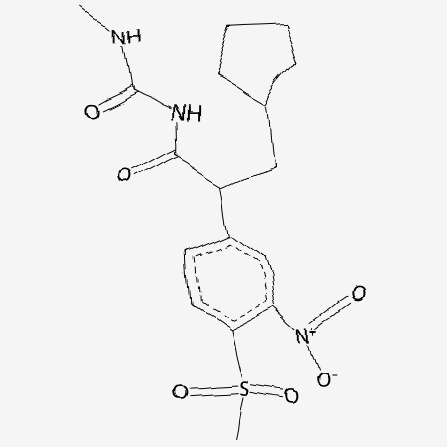 CNC(=O)NC(=O)C(CC1CCCC1)c1ccc(S(C)(=O)=O)c([N+](=O)[O-])c1